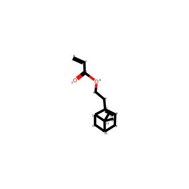 C=CC(=O)OCCC1=CCC2CC1C2(C)C